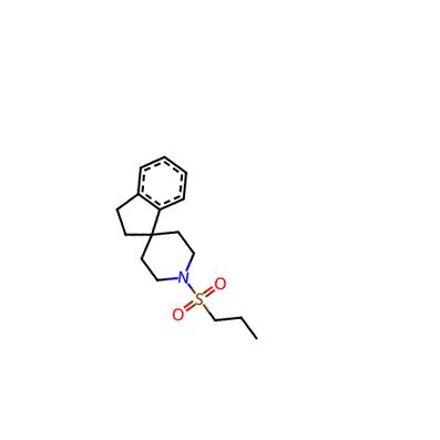 CCCS(=O)(=O)N1CCC2(CCc3ccccc32)CC1